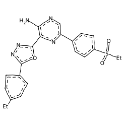 CCc1ccc(-c2nnc(-c3nc(-c4ccc(S(=O)(=O)CC)cc4)cnc3N)o2)cc1